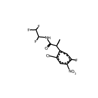 CC(C(=O)NC(F)C(F)F)c1cc(F)c([N+](=O)[O-])cc1Cl